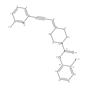 Cc1cccc(C#CC=C2CCN(C(=O)Oc3ccccc3F)CC2)n1